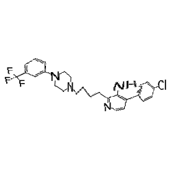 Nc1c(-c2ccc(Cl)cc2)ccnc1CCCCN1CCN(c2cccc(C(F)(F)F)c2)CC1